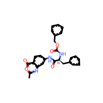 Cc1nc2cc(NC(=O)[C@H](Cc3ccccc3)NC(=O)OCc3ccccc3)ccc2c(=O)o1